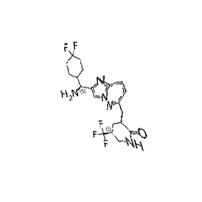 N[C@H](c1cn2nc(CC3C[C@H](C(F)(F)F)CNC3=O)ccc2n1)C1CCC(F)(F)CC1